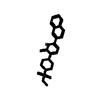 CCS(=O)(=O)N1CCC(c2ccc(-c3ccc4ccccc4c3)[nH]c2=O)CC1